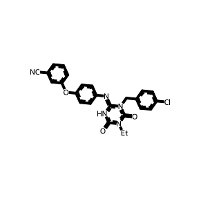 CCn1c(=O)[nH]/c(=N\c2ccc(Oc3cccc(C#N)c3)cc2)n(Cc2ccc(Cl)cc2)c1=O